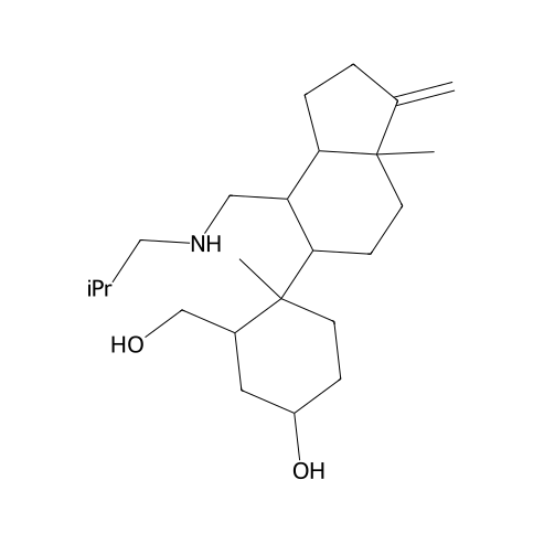 C=C1CCC2C(CNCC(C)C)C(C3(C)CCC(O)CC3CO)CCC12C